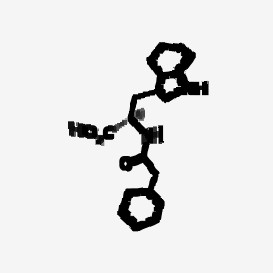 O=C(Cc1ccccc1)N[C@@H](Cc1c[nH]c2ccccc12)C(=O)O